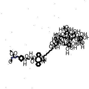 CCOC(=O)C(/C=C/c1ccc(NC(=O)CNC(=O)OC2Cc3ccccc3-c3nnn(CCCCCCC(=O)NC(CC(=O)N[C@@H]4OC(CO)[C@@H](O[C@@H]5OC(CO)[C@@H](O[C@@H]6OC(CO[C@H]7OC(CO)[C@@H](O)C(O)C7O)[C@@H](O)C(O[C@H]7OC(CO)(CO)CC(O)C7O)C6O)C(O)C5NC(C)=O)C(O)C4NC(C)=O)C(=O)O)c3-c3ccccc32)cc1)=C/C=O